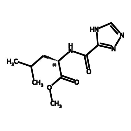 COC(=O)[C@H](CC(C)C)NC(=O)c1nnc[nH]1